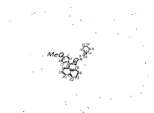 COc1ccc(C(=NOCCCN2CCCCC2)c2cccc3ccccc23)cc1